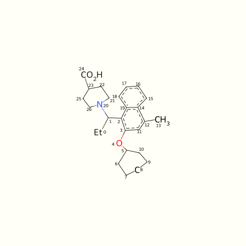 CCC(c1c(OC2CCCCC2)cc(C)c2ccccc12)N1CCC(C(=O)O)CC1